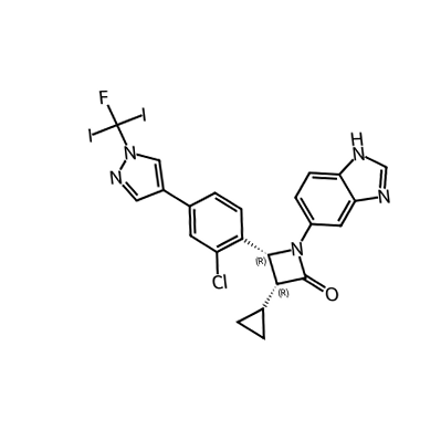 O=C1[C@H](C2CC2)[C@H](c2ccc(-c3cnn(C(F)(I)I)c3)cc2Cl)N1c1ccc2[nH]cnc2c1